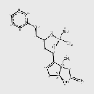 C=CC[C@]1(C)C(CCC(COc2ccccc2)O[Si](C)(C)C(C)(C)C)=CC[C@@H]1O